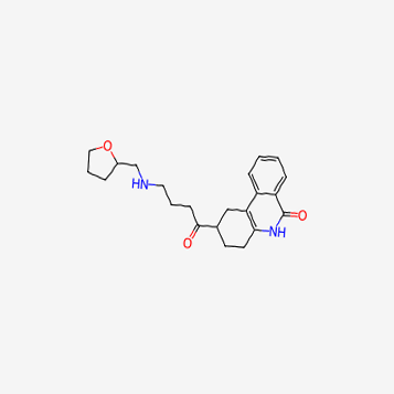 O=C(CCCNCC1CCCO1)C1CCc2[nH]c(=O)c3ccccc3c2C1